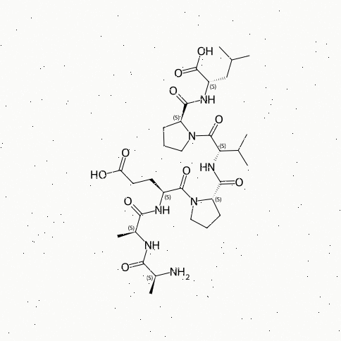 CC(C)C[C@H](NC(=O)[C@@H]1CCCN1C(=O)[C@@H](NC(=O)[C@@H]1CCCN1C(=O)[C@H](CCC(=O)O)NC(=O)[C@H](C)NC(=O)[C@H](C)N)C(C)C)C(=O)O